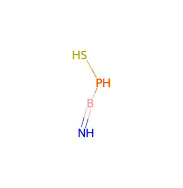 N=BPS